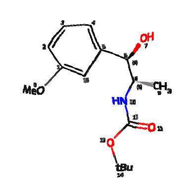 COc1cccc([C@@H](O)[C@H](C)NC(=O)OC(C)(C)C)c1